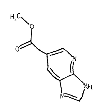 COC(=O)c1cnc2[nH]cnc2c1